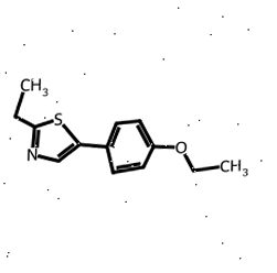 CCOc1ccc(-c2cnc(CC)s2)cc1